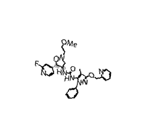 COCCN1C[C@@H](NC(=O)Nc2c(C)c(OCc3ccccn3)nn2-c2ccccc2)[C@H](c2ccnc(F)c2)O1